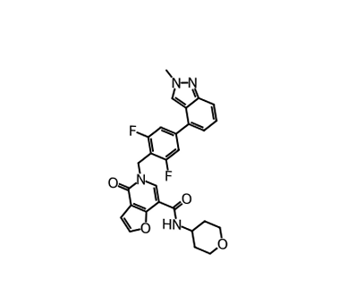 Cn1cc2c(-c3cc(F)c(Cn4cc(C(=O)NC5CCOCC5)c5occc5c4=O)c(F)c3)cccc2n1